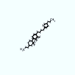 CCCc1ccc(CCCCc2ccc(C3CCC(CCC)CC3(F)F)c(F)c2F)nc1